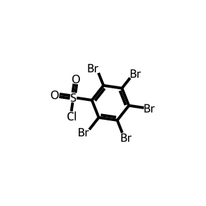 O=S(=O)(Cl)c1c(Br)c(Br)c(Br)c(Br)c1Br